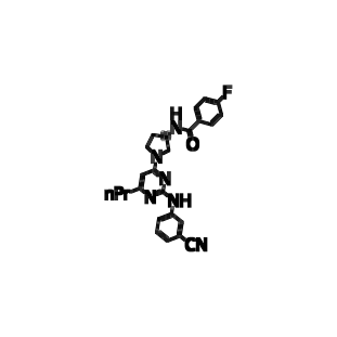 CCCc1cc(N2CC[C@H](NC(=O)c3ccc(F)cc3)C2)nc(Nc2cccc(C#N)c2)n1